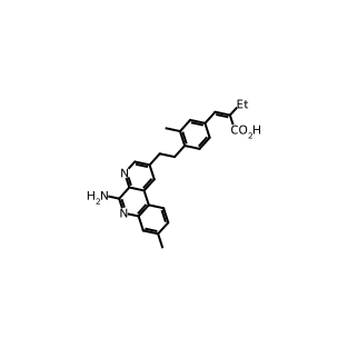 CCC(=Cc1ccc(CCc2cnc3c(N)nc4cc(C)ccc4c3c2)c(C)c1)C(=O)O